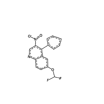 O=[N+]([O-])c1cnc2ccc(OC(F)F)cc2c1-c1ccccc1